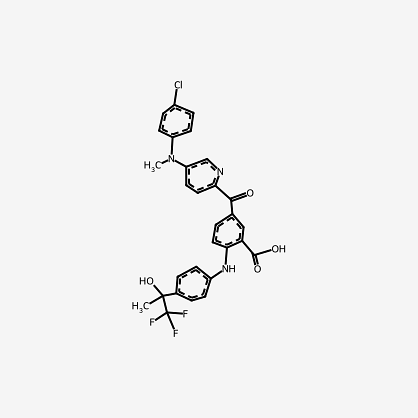 CN(c1ccc(Cl)cc1)c1ccc(C(=O)c2ccc(Nc3ccc(C(C)(O)C(F)(F)F)cc3)c(C(=O)O)c2)nc1